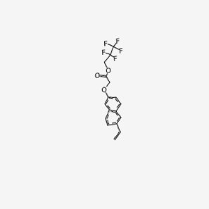 C=Cc1ccc2cc(OCC(=O)OCC(F)(F)C(F)(F)F)ccc2c1